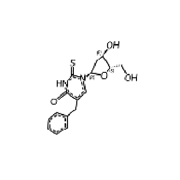 O=c1[nH]c(=S)n([C@H]2C[C@@H](O)[C@H](CO)O2)cc1Cc1ccccc1